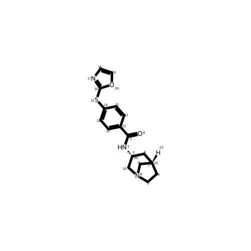 O=C(N[C@@H]1C[C@@H]2CCN(C2)C1)c1ccc(Sc2ncco2)cc1